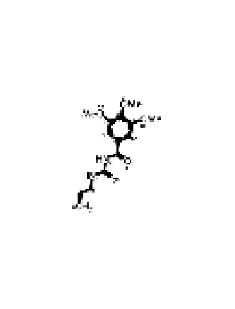 C=CCNC(=S)NC(=O)c1cc(OC)c(OC)c(OC)c1